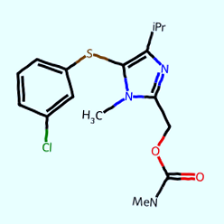 CNC(=O)OCc1nc(C(C)C)c(Sc2cccc(Cl)c2)n1C